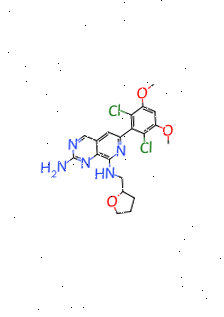 COc1cc(OC)c(Cl)c(-c2cc3cnc(N)nc3c(NCC3CCCO3)n2)c1Cl